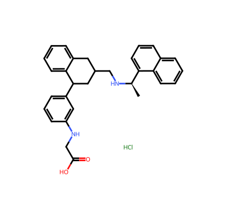 C[C@@H](NCC1Cc2ccccc2C(c2cccc(NCC(=O)O)c2)C1)c1cccc2ccccc12.Cl